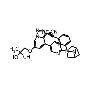 C#Cc1cccc(CN2C3CC2CN(c2ccc(-c4cc(OCC(C)(C)O)cn5ncc(C#N)c45)cn2)C3)n1